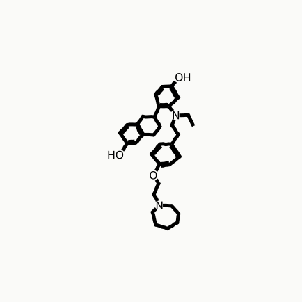 CCN(CCc1ccc(OCCN2CCCCCC2)cc1)c1cc(O)ccc1C1CCc2cc(O)ccc2C1